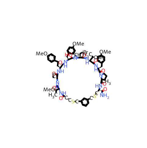 COc1ccc(CC[C@@H]2NC(=O)[C@@H](CC(C)C)NC(=O)[C@H]([C@@H](C)OC)NC(=O)CCSCc3cccc(c3)CSC[C@@H](C(N)=O)NC(=O)[C@]3(C)CCCN3C(=O)[C@H](Cc3ccc(OC)cc3)NC(=O)[C@H]([C@@H](C)OC)NC(=O)[C@H](CC(C)C)N(C)C(O)[C@H](Cc3ccc(OC)cc3)NC2=O)cc1